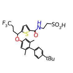 Cc1cc(OC(CCC(F)(F)F)c2ccc(C(=O)NCCS(=O)(=O)O)s2)cc(C)c1-c1ccc(C(C)(C)C)cc1